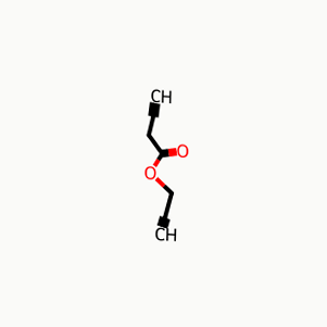 C#CCOC(=O)CC#C